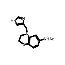 CC(=O)Nc1ccc2c(c1)N(Cc1c[nH]cn1)CCS2